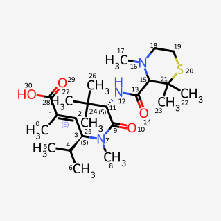 C/C(=C\[C@H](C(C)C)N(C)C(=O)[C@@H](NC(=O)C1N(C)CCSC1(C)C)C(C)(C)C)C(=O)O